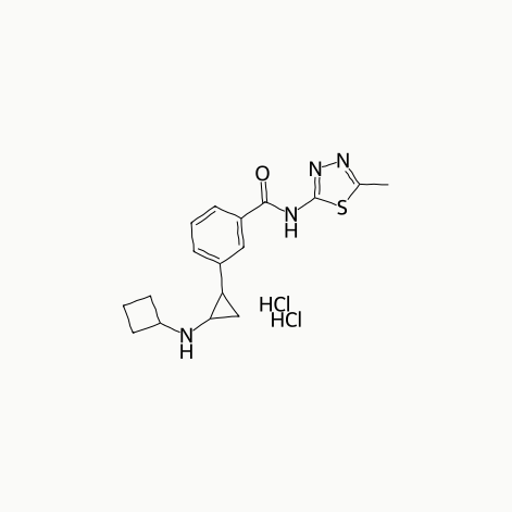 Cc1nnc(NC(=O)c2cccc(C3CC3NC3CCC3)c2)s1.Cl.Cl